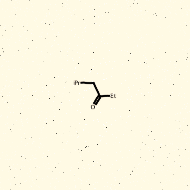 [CH2]CC(=O)CC(C)C